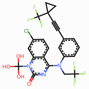 O=c1nc(N(CC(F)(F)F)c2cccc(C#CC3(C(F)(F)F)CC3)c2)c2ccc(Cl)cc2n1C(O)(O)O